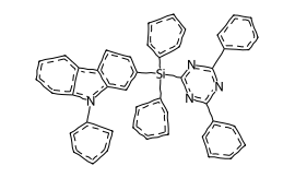 c1ccc(-c2nc(-c3ccccc3)nc([Si](c3ccccc3)(c3ccccc3)c3ccc4c5ccccc5n(-c5ccccc5)c4c3)n2)cc1